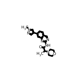 CC(C(=O)Nc1ncc2ccc(-c3cnn(C)c3)cc2n1)N1CCOCC1